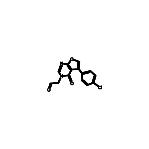 O=CCn1cnc2occ(-c3ccc(Cl)cc3)c2c1=O